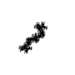 CC1(C)Oc2cc(-c3c(F)c(F)c(-c4cc5c(s4)-c4sc(/C=C6\C(=O)c7cc(F)c(F)cc7C6=C(C#N)C#N)cc4OC5(C)C)c4nsnc34)sc2-c2sc(/C=C3\C(=O)c4cc(F)c(F)cc4C3=C(C#N)C#N)cc21